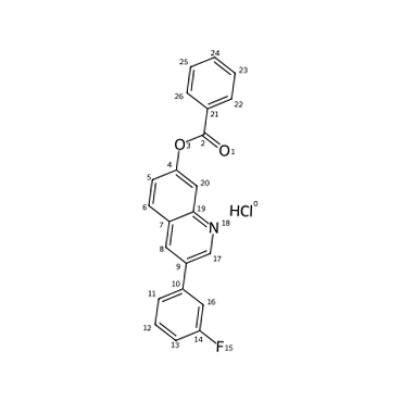 Cl.O=C(Oc1ccc2cc(-c3cccc(F)c3)cnc2c1)c1ccccc1